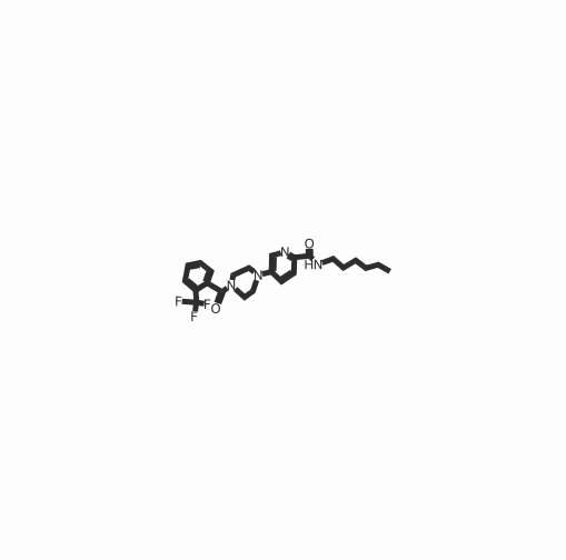 CCCCCCNC(=O)c1ccc(N2CCN(C(=O)c3ccccc3C(F)(F)F)CC2)cn1